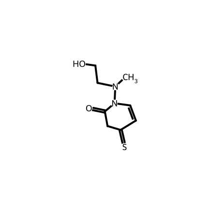 CN(CCO)N1C=CC(=S)CC1=O